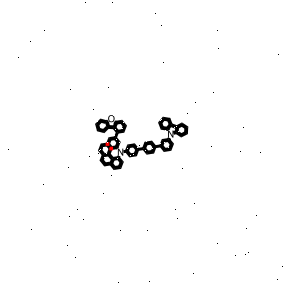 c1cc(-c2cccc3oc4ccccc4c23)cc(N(c2ccc(-c3ccc(-c4cccc(-n5c6ccccc6c6ccccc65)c4)cc3)cc2)c2cccc3ccc4ccccc4c23)c1